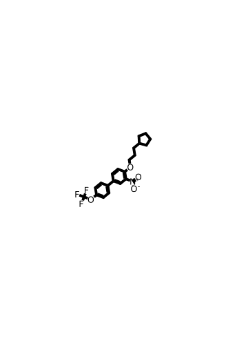 O=[N+]([O-])c1cc(-c2ccc(OC(F)(F)F)cc2)ccc1OCCCC1CCCC1